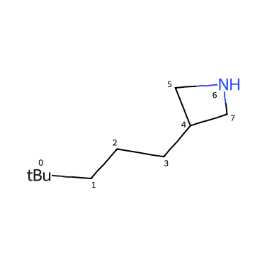 CC(C)(C)CCCC1CNC1